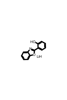 Oc1ccccc1-c1nc2ccccc2o1.[LiH]